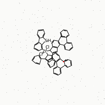 CCc1ccc2c(c1-c1ccccc1-c1ccccc1)C=C(c1ccccc1)[CH]2[Zr]([Cl])([Cl])([c]1cccc2c1[SiH2]c1ccccc1-2)[CH]1C(c2ccccc2)=Cc2c1ccc(CC)c2-c1ccccc1-c1ccccc1